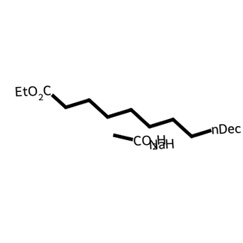 CC(=O)O.CCCCCCCCCCCCCCCCCC(=O)OCC.[NaH]